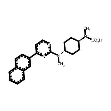 CN(C(=O)O)[C@H]1CC[C@H](N(C)c2nccc(-c3ccc4ccccc4c3)n2)CC1